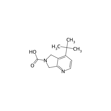 CC(C)(C)c1ccnc2c1CN(C(=O)O)C2